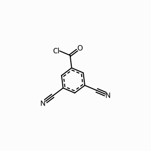 N#Cc1cc(C#N)cc(C(=O)Cl)c1